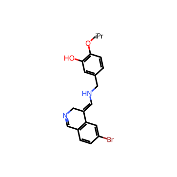 CC(C)Oc1ccc(CNC=C2CN=Cc3ccc(Br)cc32)cc1O